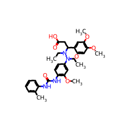 CCN(C(CC(=O)O)c1ccc(OC)c(OC)c1)N(C(C)=O)c1ccc(NC(=O)Nc2ccccc2C)c(OC)c1